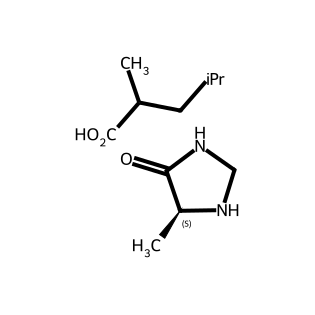 CC(C)CC(C)C(=O)O.C[C@@H]1NCNC1=O